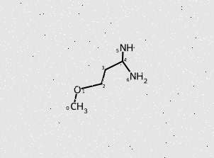 COCCC([NH])N